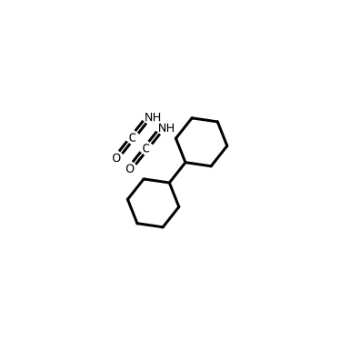 C1CCC(C2CCCCC2)CC1.N=C=O.N=C=O